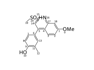 COc1ccc2c(-c3ccc(O)c(C)c3)ccnc2c1.CS(=O)(=O)O